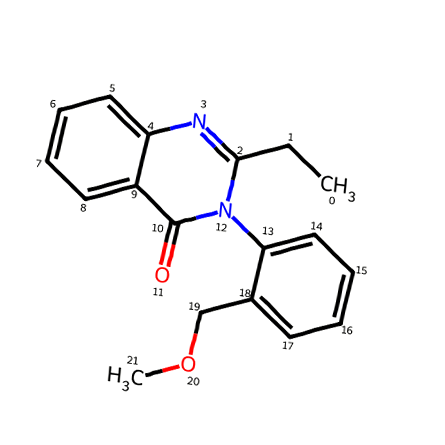 CCc1nc2ccccc2c(=O)n1-c1ccccc1COC